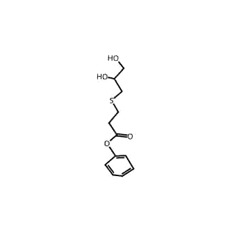 O=C(CCSCC(O)CO)Oc1ccccc1